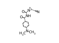 CN(C)c1ccc(C(=O)NC(=O)N2CC2C#N)cc1